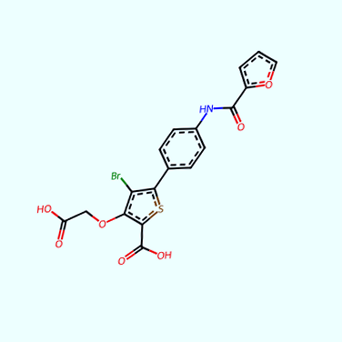 O=C(O)COc1c(C(=O)O)sc(-c2ccc(NC(=O)c3ccco3)cc2)c1Br